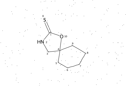 S=C1NCC2(CCCCC2)O1